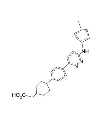 Cc1ccc(Nc2ccc(-c3ccc(C4CCC(CC(=O)O)CC4)cc3)nn2)cc1